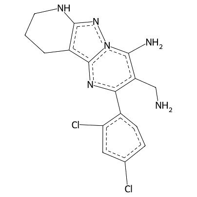 NCc1c(-c2ccc(Cl)cc2Cl)nc2c3c(nn2c1N)NCCC3